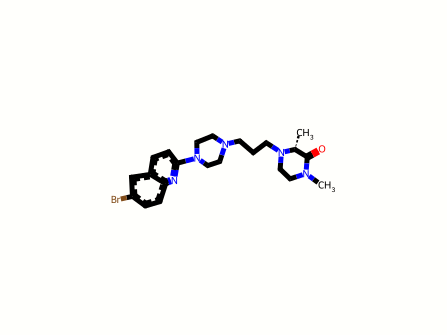 C[C@@H]1C(=O)N(C)CCN1CCCN1CCN(c2ccc3cc(Br)ccc3n2)CC1